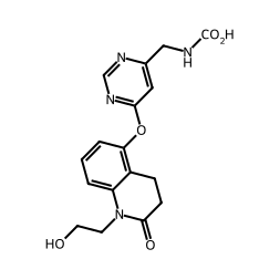 O=C(O)NCc1cc(Oc2cccc3c2CCC(=O)N3CCO)ncn1